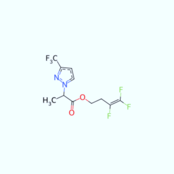 CC(C(=O)OCCC(F)=C(F)F)n1ccc(C(F)(F)F)n1